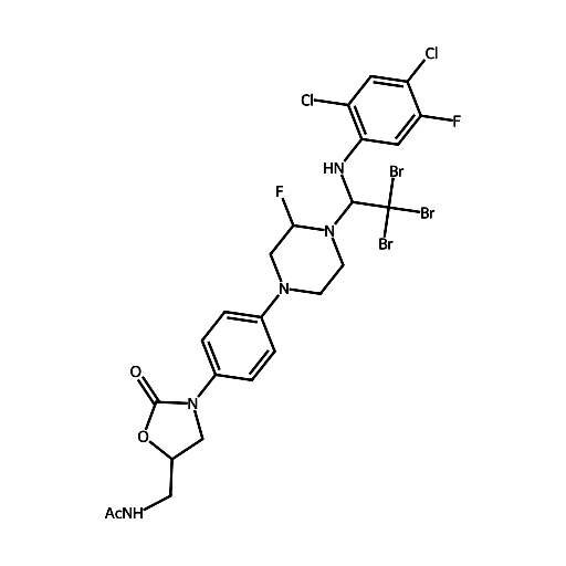 CC(=O)NCC1CN(c2ccc(N3CCN(C(Nc4cc(F)c(Cl)cc4Cl)C(Br)(Br)Br)C(F)C3)cc2)C(=O)O1